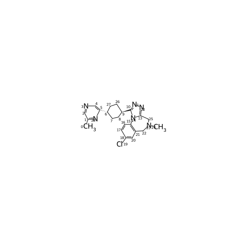 Cc1cncc([C@H]2CC[C@H](c3nnc4n3-c3ccc(Cl)cc3CN(C)C4)CC2)n1